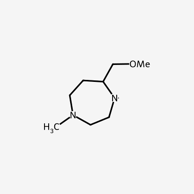 COCC1CCN(C)CC[N]1